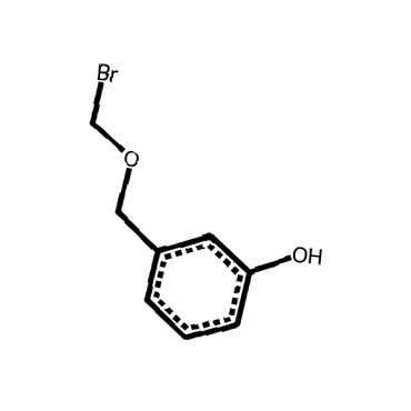 Oc1cccc(COCBr)c1